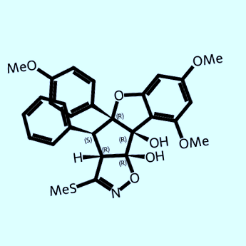 COc1ccc([C@@]23Oc4cc(OC)cc(OC)c4[C@]2(O)[C@]2(O)ON=C(SC)[C@@H]2[C@H]3c2ccccc2)cc1